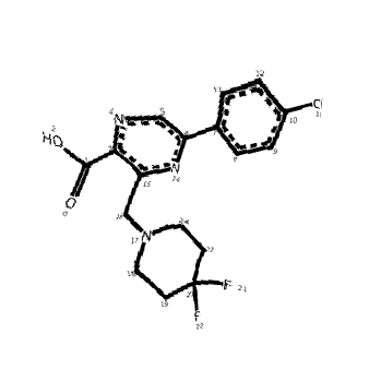 O=C(O)c1ncc(-c2ccc(Cl)cc2)nc1CN1CCC(F)(F)CC1